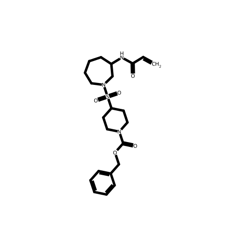 C=CC(=O)NC1CCCCN(S(=O)(=O)C2CCN(C(=O)OCc3ccccc3)CC2)C1